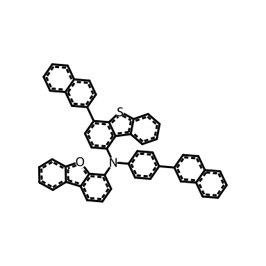 c1ccc2cc(-c3ccc(N(c4cccc5c4oc4ccccc45)c4ccc(-c5ccc6ccccc6c5)c5sc6ccccc6c45)cc3)ccc2c1